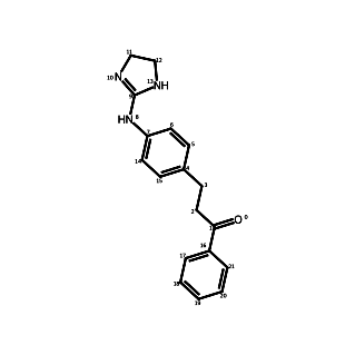 O=C(CCc1ccc(NC2=NCCN2)cc1)c1ccccc1